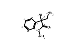 NCC(N)(C(=O)ON)c1ccccc1